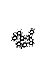 c1ccc(-c2nc(-c3ccccc3)nc(-c3cc(-c4cccc5oc6ccccc6c45)cc(-c4cccc5sc6ccccc6c45)c3)n2)cc1